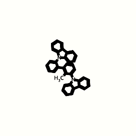 Cc1c(-c2ccccc2-n2c3ccccc3c3ccccc32)cccc1-n1c2ccccc2c2ccccc21